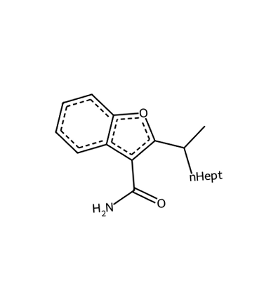 CCCCCCCC(C)c1oc2ccccc2c1C(N)=O